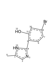 Cc1cnc(-c2ccc(Br)cc2O)[nH]1